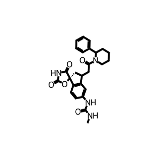 CNC(=O)Nc1ccc2c(c1)C(CC(=O)N1CCCCC1c1ccccc1)C[C@@]21OC(=O)NC1=O